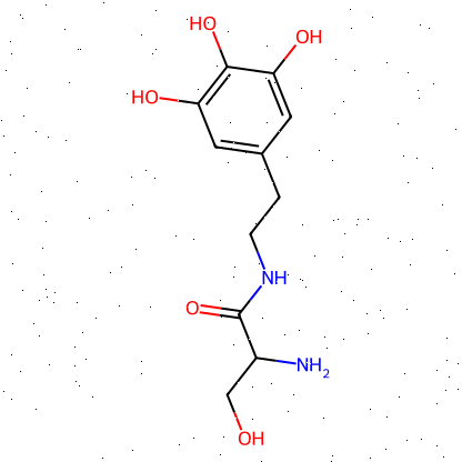 NC(CO)C(=O)NCCc1cc(O)c(O)c(O)c1